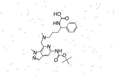 CN(CCCC(NC(=O)O)c1ccccc1)Cc1nc(NC(=O)OC(C)(C)C)cc2cnn(C)c12